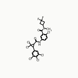 CN(C(=O)c1cc(NC(=O)C2C(c3cc(Cl)c(Cl)c(Cl)c3)C2(Cl)Cl)ccc1Cl)C1CC(F)(F)C1